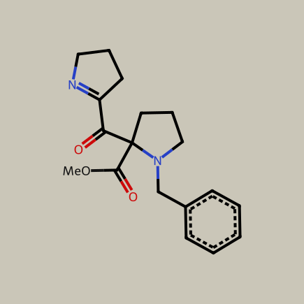 COC(=O)C1(C(=O)C2=NCCC2)CCCN1Cc1ccccc1